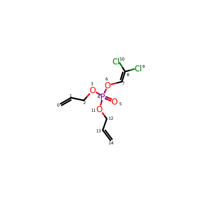 C=CCOP(=O)(OC=C(Cl)Cl)OCC=C